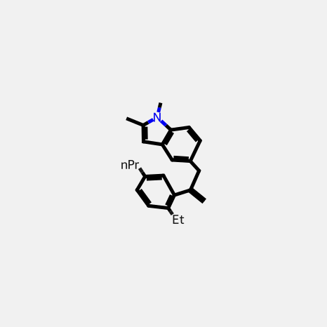 C=C(Cc1ccc2c(c1)cc(C)n2C)c1cc(CCC)ccc1CC